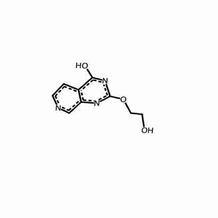 OCCOc1nc(O)c2ccncc2n1